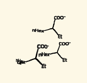 CCCCCCC(CC)C(=O)[O-].CCCCCCC(CC)C(=O)[O-].CCCCCCC(CC)C(=O)[O-].[La+3]